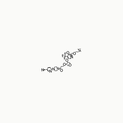 C[Si](C)(C)CCOCn1ncc(O[C@H]2COC[C@H]2OCCC(=O)N2CCN(c3ccc(C#N)cn3)CC2)c(C(F)(F)F)c1=O